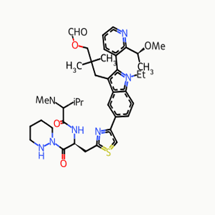 CCn1c(-c2cccnc2[C@H](C)OC)c(CC(C)(C)COC=O)c2cc(-c3csc(C[C@H](NC(=O)C(NC)C(C)C)C(=O)N4CCCCN4)n3)ccc21